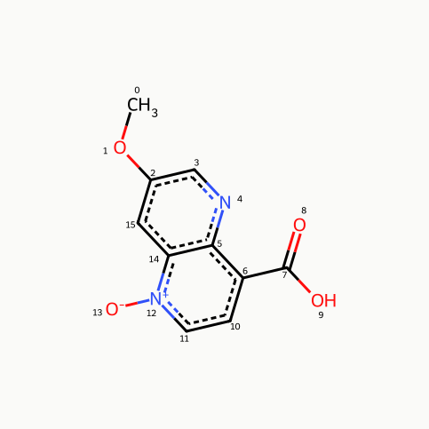 COc1cnc2c(C(=O)O)cc[n+]([O-])c2c1